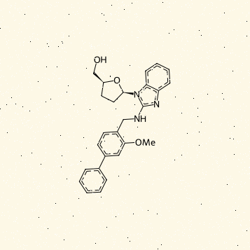 COc1cc(-c2ccccc2)ccc1CNc1nc2ccccc2n1[C@H]1CC[C@@H](CO)O1